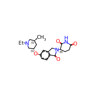 CCN1C[C@@H](C)C[C@H](Oc2ccc3c(c2)CN([C@@H]2CCC(=O)NC2=O)C3=O)C1